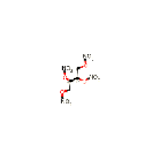 O=[N+]([O-])OC[C@@H](O[N+](=O)[O-])[C@@H](CO[N+](=O)[O-])O[N+](=O)[O-]